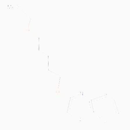 COCOCCCCCOc1ccc2ccccc2n1